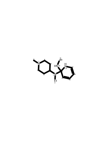 CCN(C1CCN(C)CC1)C1(NC(C)C)C=CC=CN1